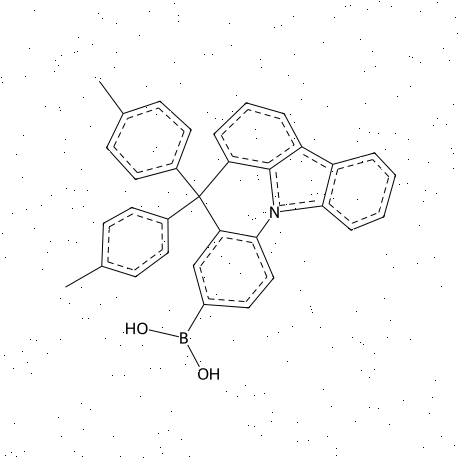 Cc1ccc(C2(c3ccc(C)cc3)c3cc(B(O)O)ccc3-n3c4ccccc4c4cccc2c43)cc1